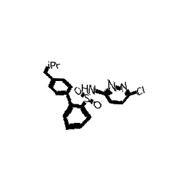 CC(C)Cc1ccc(-c2ccccc2S(=O)(=O)Nc2ccc(Cl)nn2)cc1